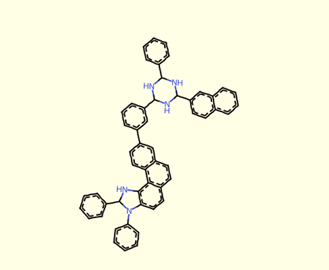 c1ccc(C2NC(c3cccc(-c4ccc5c(ccc6ccc7c(c65)NC(c5ccccc5)N7c5ccccc5)c4)c3)NC(c3ccc4ccccc4c3)N2)cc1